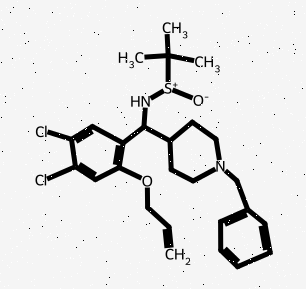 C=CCOc1cc(Cl)c(Cl)cc1C(N[S+]([O-])C(C)(C)C)C1CCN(Cc2ccccc2)CC1